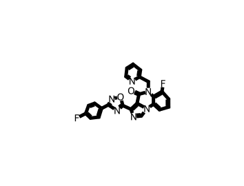 O=c1c2c(-c3nc(-c4ccc(F)cc4)no3)ncn2c2cccc(F)c2n1Cc1ccccn1